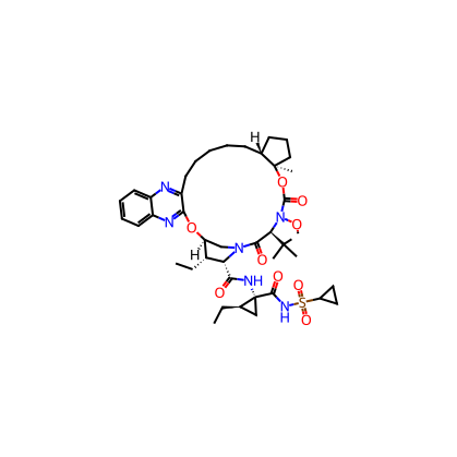 CC[C@@H]1[C@@H]2CN(C(=O)[C@H](C(C)(C)C)N(OC)C(=O)O[C@]3(C)CCC[C@H]3CCCCCc3nc4ccccc4nc3O2)[C@@H]1C(=O)N[C@]1(C(=O)NS(=O)(=O)C2CC2)C[C@H]1CC